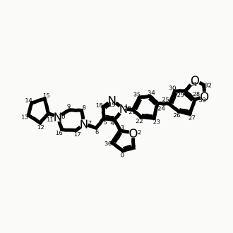 c1coc(-c2c(CN3CCN(C4CCCC4)CC3)cnn2-c2ccc(-c3ccc4c(c3)OCO4)cc2)c1